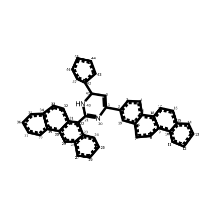 C1=C(c2ccc3c(ccc4c5ccccc5ccc34)c2)N=C(c2c3ccccc3cc3c2ccc2ccccc23)NC1c1ccccc1